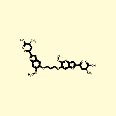 COc1cc2sc(C(=O)C[C@H](C)C(=O)O)cc2cc1OCCCOc1cc2sc(C(=O)C[C@H](C)C(=O)O)cc2nc1OC